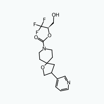 O=C(O[C@H](CO)C(F)(F)F)N1CCC2(CC1)CC(c1cccnc1)CO2